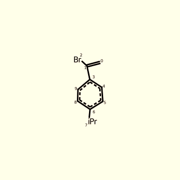 C=C(Br)c1ccc(C(C)C)cc1